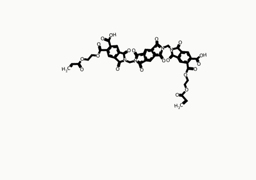 C=CC(=O)OCCOC(=O)c1cc2c(cc1C(=O)O)C(=O)N(Cn1c(=O)c3cc4c(=O)n(CN5C(=O)c6cc(C(=O)O)c(C(=O)OCCOC(=O)C=C)cc6C5=O)c(=O)c4cc3c1=O)C2=O